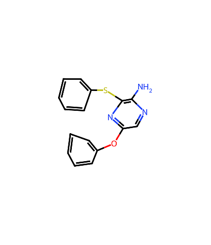 Nc1ncc(Oc2ccccc2)nc1Sc1ccccc1